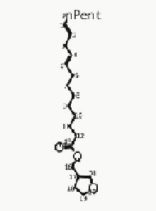 CCCCCC=CCC=CCCCCCCCC(=O)OCC1CCOC1